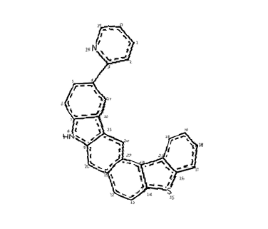 c1ccc(-c2ccc3[nH]c4cc5ccc6sc7ccccc7c6c5cc4c3c2)nc1